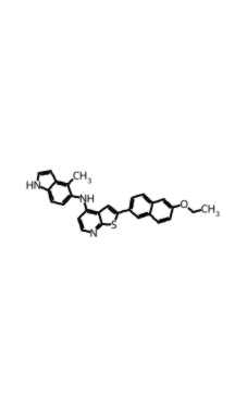 CCOc1ccc2cc(-c3cc4c(Nc5ccc6[nH]ccc6c5C)ccnc4s3)ccc2c1